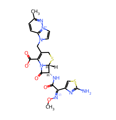 CO/N=C(\C(=O)N[C@@H]1C(=O)N2C(C(=O)[O-])=C(Cn3cc[n+]4nc(C)ccc34)CS[C@H]12)c1csc(N)n1